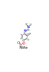 CNC(=O)Oc1ccc(N=CN(C)C)c(C)c1